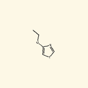 CCOc1cscn1